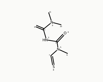 C=C(NC(=O)N(C)C=S)N(C)C